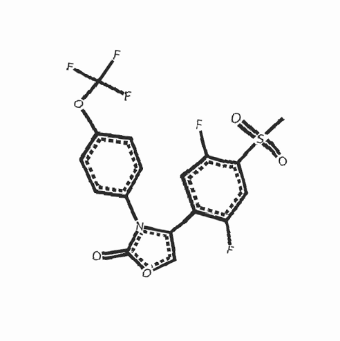 CS(=O)(=O)c1cc(F)c(-c2coc(=O)n2-c2ccc(OC(F)(F)F)cc2)cc1F